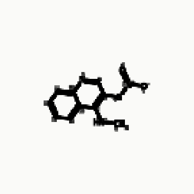 CNc1c(S[N+](=O)[O-])cnc2ccccc12